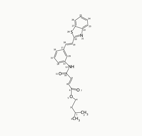 CC(C)CCOC(=O)C=CC(=O)Nc1cccc(C=Cc2nc3ccccc3s2)c1